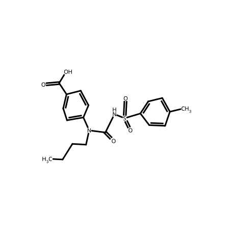 CCCCN(C(=O)NS(=O)(=O)c1ccc(C)cc1)c1ccc(C(=O)O)cc1